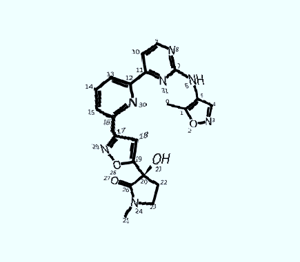 Cc1oncc1Nc1nccc(-c2cccc(-c3cc([C@]4(O)CCN(C)C4=O)on3)n2)n1